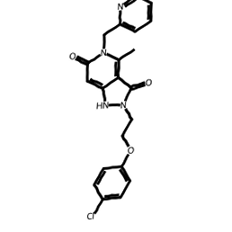 Cc1c2c(=O)n(CCOc3ccc(Cl)cc3)[nH]c2cc(=O)n1Cc1ccccn1